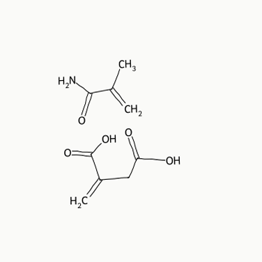 C=C(C)C(N)=O.C=C(CC(=O)O)C(=O)O